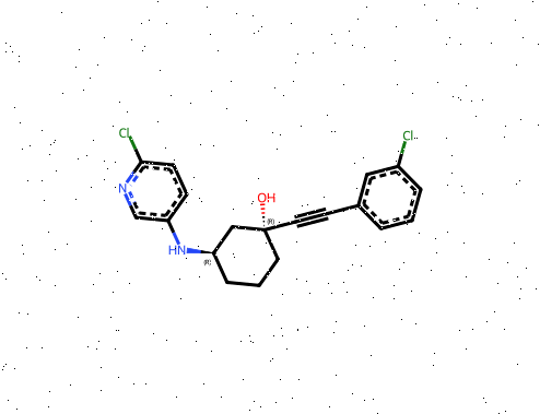 O[C@]1(C#Cc2cccc(Cl)c2)CCC[C@@H](Nc2ccc(Cl)nc2)C1